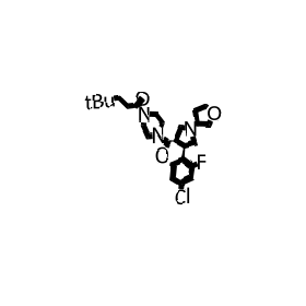 CC(C)(C)CCC(=O)N1CCN(C(=O)[C@@H]2CN([C@H]3CCOC3)C[C@H]2c2ccc(Cl)cc2F)CC1